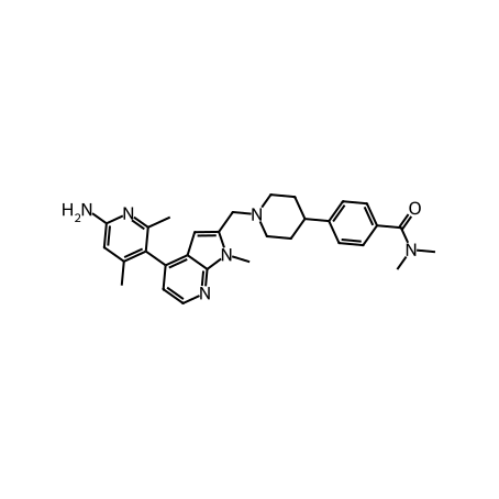 Cc1cc(N)nc(C)c1-c1ccnc2c1cc(CN1CCC(c3ccc(C(=O)N(C)C)cc3)CC1)n2C